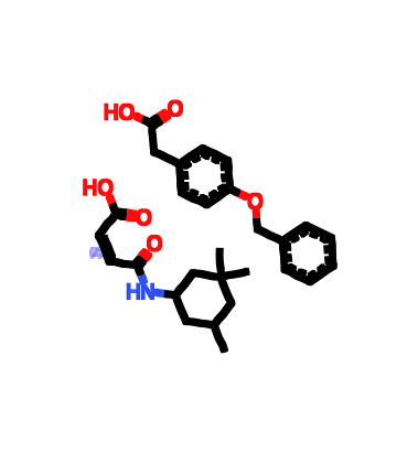 CC1CC(NC(=O)/C=C\C(=O)O)CC(C)(C)C1.O=C(O)Cc1ccc(OCc2ccccc2)cc1